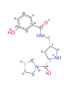 O=C(NC[C@@H]1CN[C@H](C(=O)N2CCSC2)C1)c1cccc(O)c1